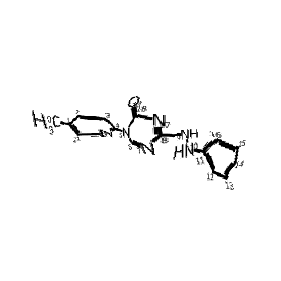 Cc1ccc(-n2cnc(NNc3ccccc3)nc2=O)nc1